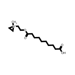 C[N+]1(CCOC(=O)CCCCCCCCC(=O)O)CC1